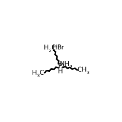 Br.CCCCCCCC[PH](N)(CCCCCCCC)CCCCCCCC